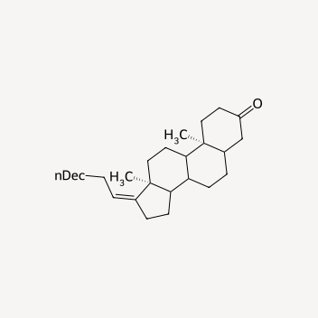 CCCCCCCCCCC/C=C1/CCC2C3CCC4CC(=O)CC[C@]4(C)C3CC[C@]12C